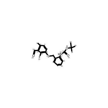 Cc1ccc(SCc2ccccc2NC(=O)OC(C)(C)C)c(F)c1C=O